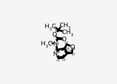 CN(C(=O)OC(C)(C)C)c1nccc2c1COC2